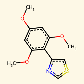 COc1cc(OC)c(-c2[c]scn2)c(OC)c1